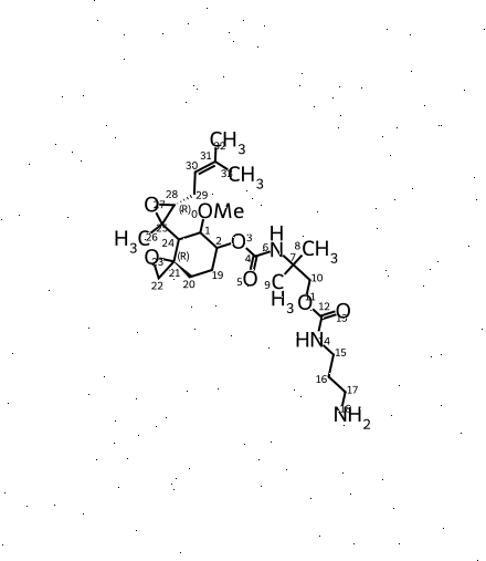 COC1C(OC(=O)NC(C)(C)COC(=O)NCCCN)CC[C@]2(CO2)C1C1(C)O[C@@H]1CC=C(C)C